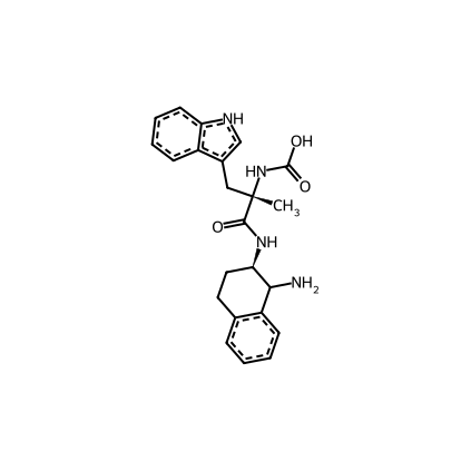 C[C@@](Cc1c[nH]c2ccccc12)(NC(=O)O)C(=O)N[C@@H]1CCc2ccccc2C1N